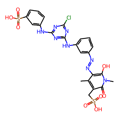 Cc1c(N=Nc2cccc(Nc3nc(Cl)nc(Nc4cccc(S(=O)(=O)O)c4)n3)c2)c(O)n(C)c(=O)c1CS(=O)(=O)O